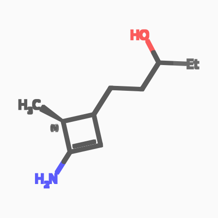 CCC(O)CCC1C=C(N)[C@H]1C